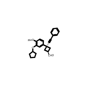 COc1ccc([C@]2(C#Cc3ccccc3)C[C@H](C=O)C2)cc1OC1CCCC1